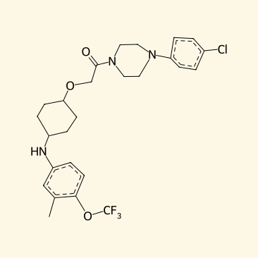 Cc1cc(NC2CCC(OCC(=O)N3CCN(c4ccc(Cl)cc4)CC3)CC2)ccc1OC(F)(F)F